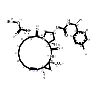 C[C@@H](NC(=O)O[C@@H]1C[C@H]2C(=O)N[C@]3(C(=O)O)C[C@H]3/C=C\CCCCC[C@H](NC(=O)OC(C)(C)C)C(=O)N2C1)c1ccc(F)cn1